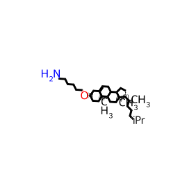 CC(C)CCC[C@@H](C)[C@H]1CCC2C3CC=C4C[C@@H](OCCCCCCN)CC[C@]4(C)C3CC[C@@]21C